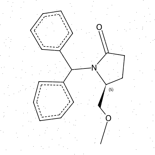 COC[C@@H]1CCC(=O)N1C(c1ccccc1)c1ccccc1